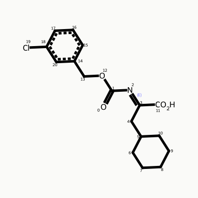 O=C(/N=C(\CC1CCCCC1)C(=O)O)OCc1cccc(Cl)c1